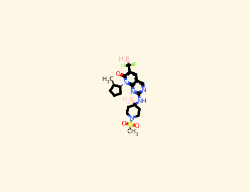 BC1(Nc2ncc3cc(C(B)(F)F)c(=O)n([C@@H]4CCC[C@H]4C)c3n2)CCN(S(C)(=O)=O)CC1